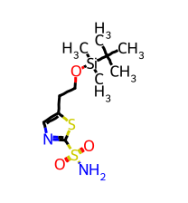 CC(C)(C)[Si](C)(C)OCCc1cnc(S(N)(=O)=O)s1